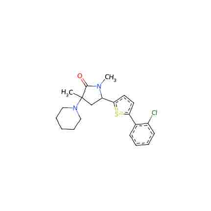 CN1C(=O)C(C)(N2CCCCC2)CC1c1ccc(-c2ccccc2Cl)s1